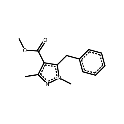 COC(=O)c1c(C)nn(C)c1Cc1ccccc1